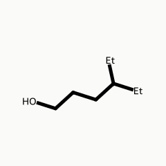 CC[C](CC)CCCO